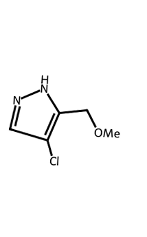 COCc1[nH]ncc1Cl